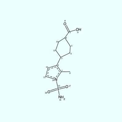 Cc1c(C2CCC(C(=O)O)CC2)ccn1S(N)(=O)=O